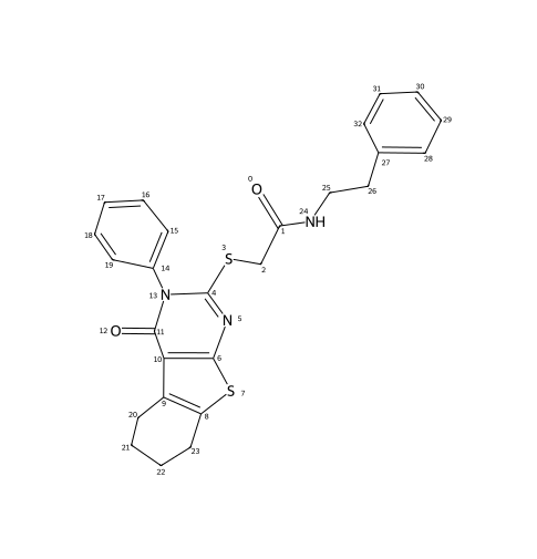 O=C(CSc1nc2sc3c(c2c(=O)n1-c1ccccc1)CCCC3)NCCc1ccccc1